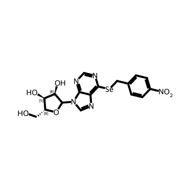 O=[N+]([O-])c1ccc(C[Se]c2ncnc3c2ncn3C2O[C@H](CO)[C@@H](O)[C@H]2O)cc1